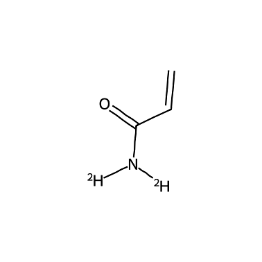 [2H]N([2H])C(=O)C=C